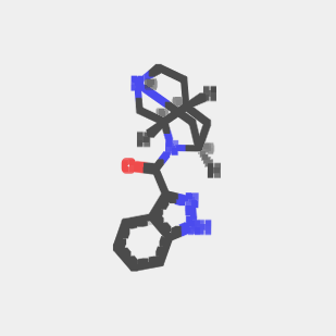 O=C(c1n[nH]c2ccccc12)N1[C@@H]2C[C@H]3CC[N@@](C2)C[C@H]31